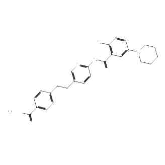 COC(=O)c1ccc(CCc2ccc(NC(=O)c3cc(N4CCCCC4)ccc3N)nc2)cc1